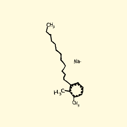 CCCCCCCCCCCCc1cccc(C)c1C.[Na]